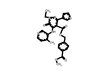 CCn1nc(-c2ccsc2)c(C(=O)OCc2ccc(C(=O)OC)cc2)c(Nc2cnccc2C)c1=O